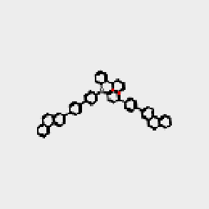 c1ccc(-c2ccccc2N(c2ccc(-c3ccc(-c4ccc5c(ccc6ccccc65)c4)cc3)cc2)c2ccc(-c3ccc(-c4ccc5c(ccc6ccccc65)c4)cc3)cc2)cc1